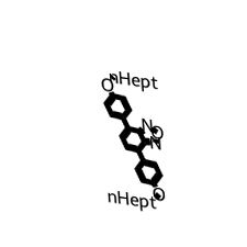 CCCCCCCOc1ccc(-c2ccc(-c3ccc(OCCCCCCC)cc3)c3nonc23)cc1